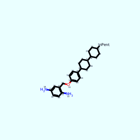 CCCCCC1CCC(C2CCC(c3ccc(OCc4cc(N)ccc4N)cc3)CC2)CC1